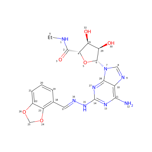 CCNC(=O)[C@H]1O[C@@H](n2cnc3c(N)nc(N/N=C/c4cccc5c4OCO5)nc32)[C@H](O)[C@@H]1O